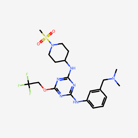 CN(C)Cc1cccc(Nc2nc(NC3CCN(S(C)(=O)=O)CC3)nc(OCC(F)(F)F)n2)c1